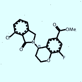 COC(=O)c1cc(F)c2c(c1)[C@H](N1Cc3cccc(Cl)c3C1=O)CCO2